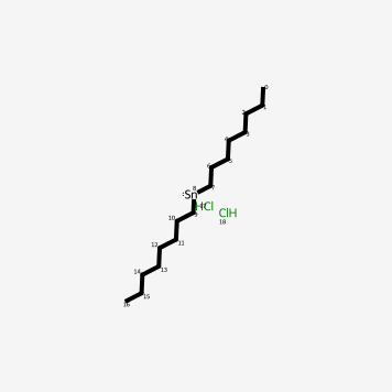 CCCCCCC[CH2][Sn][CH2]CCCCCCC.Cl.Cl